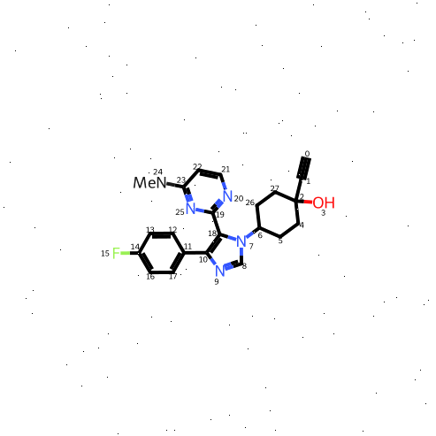 C#CC1(O)CCC(n2cnc(-c3ccc(F)cc3)c2-c2nccc(NC)n2)CC1